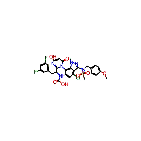 COc1ccc(CN(c2nn(C)c3c(-n4c(C(Cc5cc(F)cc(F)c5)NC(=O)O)nc(O)cc4=O)ccc(Cl)c23)S(C)(=O)=O)cc1